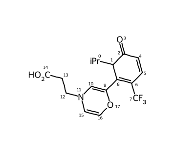 CC(C)C1C(=O)C=CC(C(F)(F)F)=C1C1=CN(CCC(=O)O)C=CO1